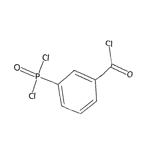 O=C(Cl)c1cccc(P(=O)(Cl)Cl)c1